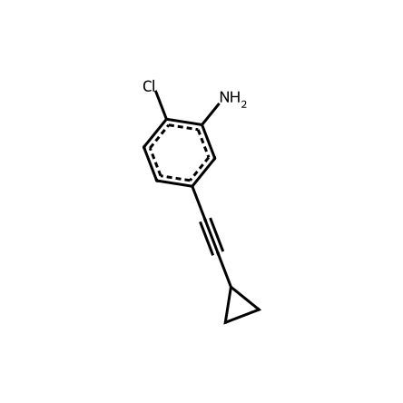 Nc1cc(C#CC2CC2)ccc1Cl